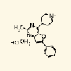 Cc1nc(C2CCNCC2)c2oc(-c3ccccc3)cc2n1.Cl.O